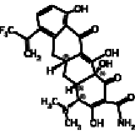 C=C(c1ccc(O)c2c1C[C@H]1C[C@H]3[C@H](N(C)C)C(O)=C(C(N)=O)C(=O)[C@@]3(O)C(O)=C1C2=O)C(F)(F)F